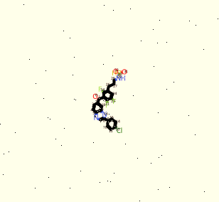 O=C(c1ccc2ncc(-c3ccc(Cl)cc3)nc2c1)c1c(F)c(F)cc(CCCN[SH](=O)=O)c1F